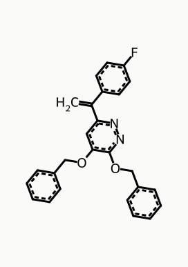 C=C(c1ccc(F)cc1)c1cc(OCc2ccccc2)c(OCc2ccccc2)nn1